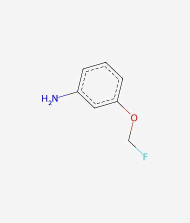 Nc1cccc(OCF)c1